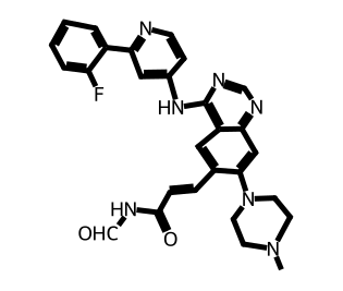 CN1CCN(c2cc3ncnc(Nc4ccnc(-c5ccccc5F)c4)c3cc2C=CC(=O)NC=O)CC1